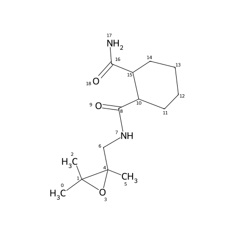 CC1(C)OC1(C)CNC(=O)C1CCCCC1C(N)=O